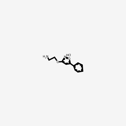 Cl.NCCOc1cc(-c2ccccc2)on1